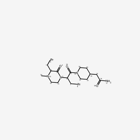 CC(C)CC1C(=O)N(C(CC(C)C)C(=O)N2CCC(CC(N)=O)CC2)CCN1C